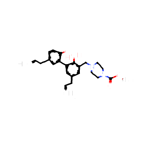 C=CCc1ccc(O)c(-c2cc(CC=C)cc(CN3CCN(C(=O)OC(C)(C)C)CC3)c2O)c1